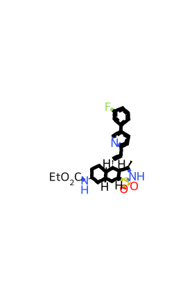 CCOC(=O)N[C@@H]1CC[C@@H]2[C@@H](C1)C[C@@H]1[C@H]([C@H]2/C=C/c2ccc(-c3cccc(F)c3)cn2)[C@@H](C)NS1(=O)=O